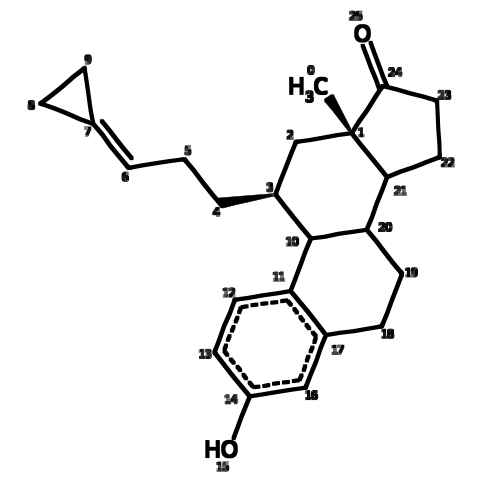 C[C@]12C[C@H](CCC=C3CC3)C3c4ccc(O)cc4CCC3C1CCC2=O